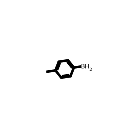 Bc1ccc(C)cc1